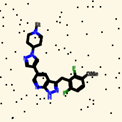 CCN1CCC(n2cc(-c3cnc4[nH]nc(Cc5c(F)ccc(OC)c5F)c4c3)cn2)CC1